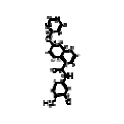 Cc1ccc(NC(=O)c2cccc3cc(Oc4ccncn4)ccc23)cc1Cl